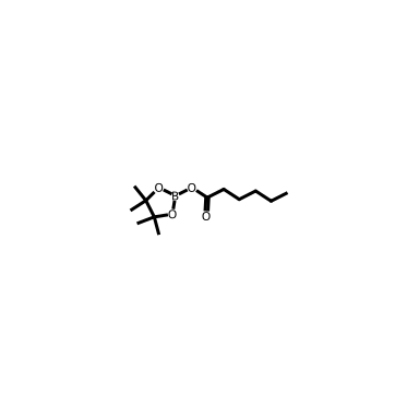 CCCCCC(=O)OB1OC(C)(C)C(C)(C)O1